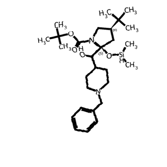 C[SiH](C)O[C@]1(C(O)C2CCN(Cc3ccccc3)CC2)C[C@H](C(C)(C)C)CN1C(=O)OC(C)(C)C